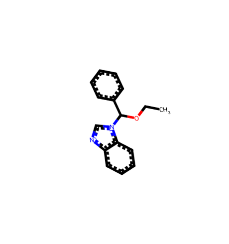 CCOC(c1ccccc1)n1cnc2ccccc21